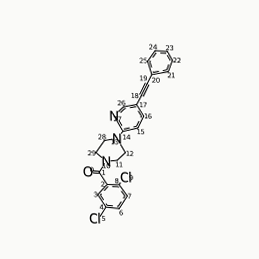 O=C(c1cc(Cl)ccc1Cl)N1CCN(c2ccc(C#Cc3ccccc3)cn2)CC1